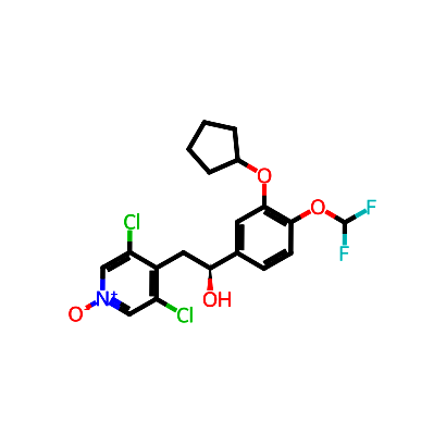 [O-][n+]1cc(Cl)c(C[C@H](O)c2ccc(OC(F)F)c(OC3CCCC3)c2)c(Cl)c1